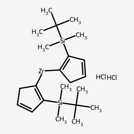 CC(C)(C)[Si](C)(C)C1=[C]([Zr][C]2=C([Si](C)(C)C(C)(C)C)C=CC2)CC=C1.Cl.Cl